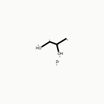 CC(O)CO.[Zr]